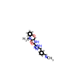 CN=Cc1cccc(Cc2nnc(C(=O)N[C@H]3COc4ccccc4N(C)C3=O)[nH]2)c1